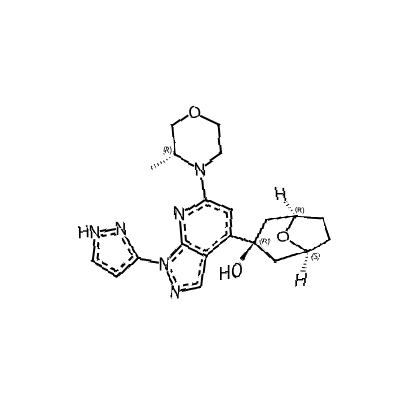 C[C@@H]1COCCN1c1cc([C@]2(O)C[C@H]3CC[C@@H](C2)O3)c2cnn(-c3cc[nH]n3)c2n1